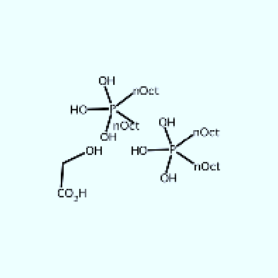 CCCCCCCCP(O)(O)(O)CCCCCCCC.CCCCCCCCP(O)(O)(O)CCCCCCCC.O=C(O)CO